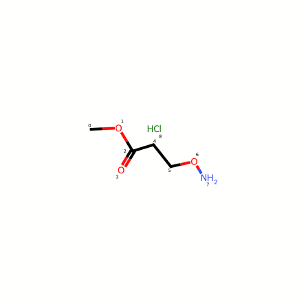 COC(=O)CCON.Cl